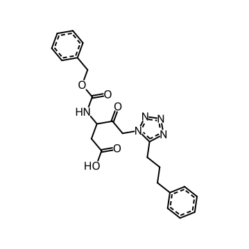 O=C(O)CC(NC(=O)OCc1ccccc1)C(=O)Cn1nnnc1CCCc1ccccc1